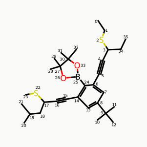 CCSC(C#Cc1cc(C(C)(C)C)cc(C#CC(CC(C)C)SC)c1B1OC(C)(C)C(C)(C)O1)CC